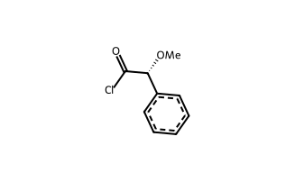 CO[C@@H](C(=O)Cl)c1ccccc1